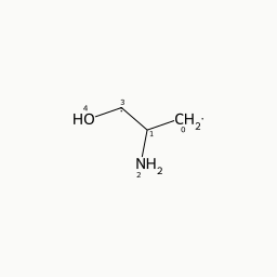 [CH2]C(N)[CH]O